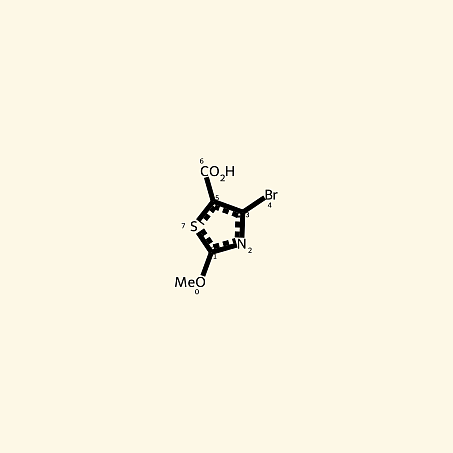 COc1nc(Br)c(C(=O)O)s1